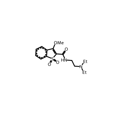 CCN(CC)CCNC(=O)C1=C(OC)c2ccccc2S1(=O)=O